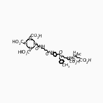 CC(=O)[C@@H](CCC(=O)O)NC(=O)N[C@H](CCCCN(Cc1ccc(C)cc1)C(=O)c1ccc(CNC(=O)CCCCNC(=O)CN2CCN(CC(=O)O)CCN(CC(=O)O)CCN(CC(=O)O)CC2)cc1)C(=O)O